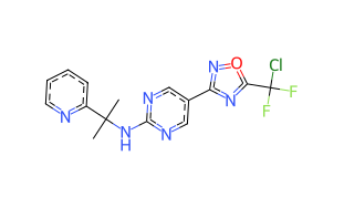 CC(C)(Nc1ncc(-c2noc(C(F)(F)Cl)n2)cn1)c1ccccn1